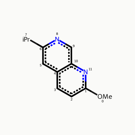 COc1ccc2cc(C(C)C)ncc2n1